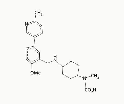 COc1ccc(-c2ccc(C)nc2)cc1CNC1CCC(N(C)C(=O)O)CC1